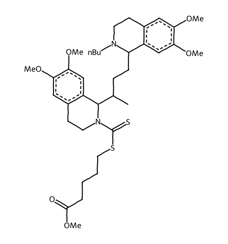 CCCCN1CCc2cc(OC)c(OC)cc2C1CCC(C)C1c2cc(OC)c(OC)cc2CCN1C(=S)SCCCCC(=O)OC